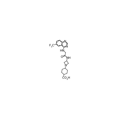 O=C(CNc1ncnc2ccc(C(F)(F)F)cc12)NC1CN(C2CCC(C(=O)O)CC2)C1